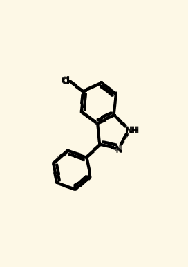 Clc1ccc2[nH]nc(-c3ccccc3)c2c1